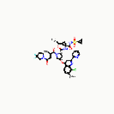 C=CC1C[C@]1(NC(=O)[C@@H]1C[C@@H](Oc2cc(-c3ccccn3)nc3c(Cl)c(OC)ccc23)CN1C(=O)C(CC(=O)N1CCC(F)(F)C1)C(C)(C)C)C(=O)NS(=O)(=O)C1CC1